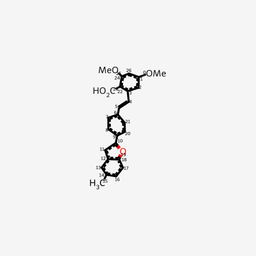 COc1cc(C=Cc2ccc(-c3cc4cc(C)ccc4o3)cc2)c(C(=O)O)c(OC)c1